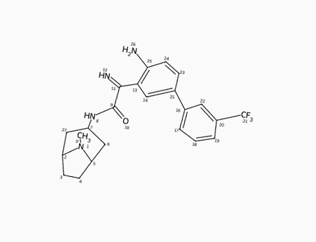 CN1C2CCC1CC(NC(=O)C(=N)c1cc(-c3cccc(C(F)(F)F)c3)ccc1N)C2